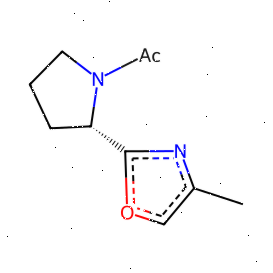 CC(=O)N1CCC[C@H]1c1nc(C)co1